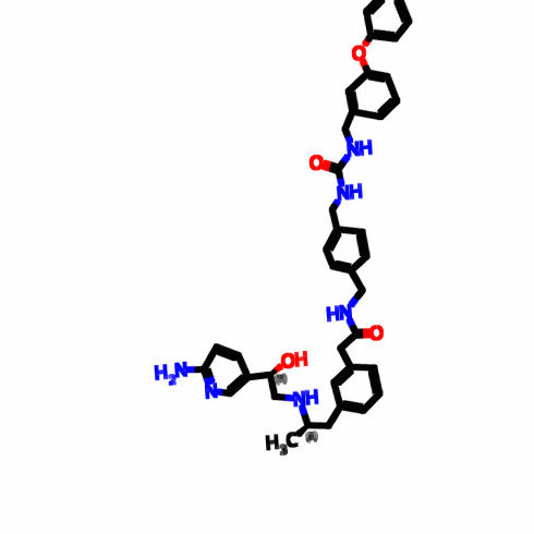 C[C@H](Cc1cccc(CC(=O)NCc2ccc(CNC(=O)NCc3cccc(Oc4ccccc4)c3)cc2)c1)NC[C@H](O)c1ccc(N)nc1